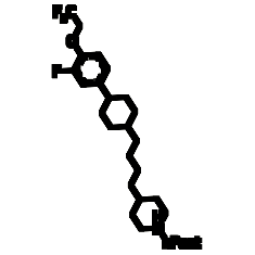 CCCCC[SiH]1CCC(CCCCC2CCC(c3ccc(OCC(F)(F)F)c(F)c3)CC2)CC1